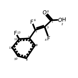 O=C(O)C(F)=C(F)c1ccccc1F